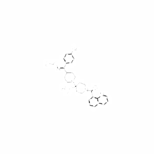 CCO/N=C(\c1ccc(Br)cc1)C1CCN(C2(C)CCN(C(=O)c3cccc4cccnc34)CC2)CC1